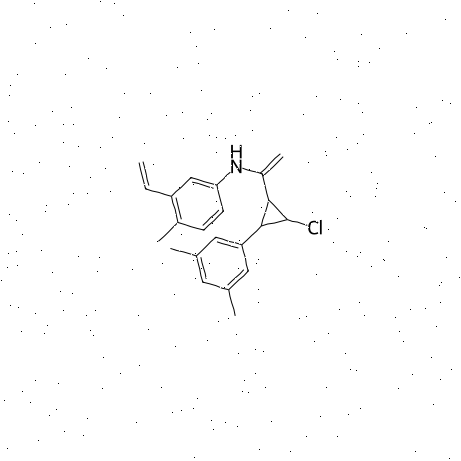 C=Cc1cc(NC(=C)C2C(Cl)C2c2cc(C)cc(C)c2)ccc1C